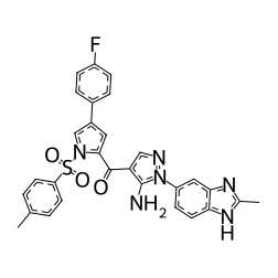 Cc1ccc(S(=O)(=O)n2cc(-c3ccc(F)cc3)cc2C(=O)c2cnn(-c3ccc4[nH]c(C)nc4c3)c2N)cc1